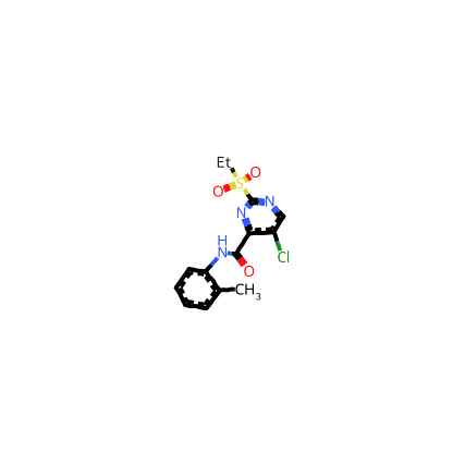 CCS(=O)(=O)c1ncc(Cl)c(C(=O)Nc2ccccc2C)n1